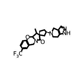 CC1C2Oc3ccc(C(F)(F)F)cc3CN2C(=O)[C@]12CC[C@@H](N1CCc3[nH]ncc3C1)C2